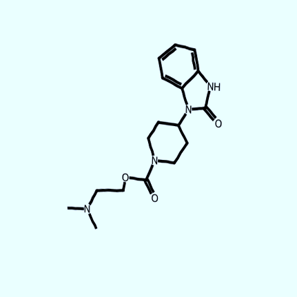 CN(C)CCOC(=O)N1CCC(n2c(=O)[nH]c3ccccc32)CC1